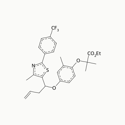 C=CCC(Oc1ccc(OC(C)(C)C(=O)OCC)c(C)c1)c1sc(-c2ccc(C(F)(F)F)cc2)nc1C